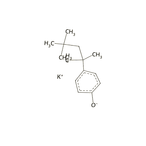 CC(C)(C)CC(C)(C)c1ccc([O-])cc1.[K+]